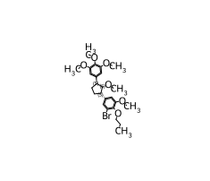 CCCOc1c(Br)cc([C@@H]2CC[C@@H](c3cc(OC)c(OC)c(OC)c3)[C@@H]2OC)cc1OC